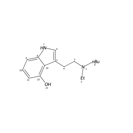 CCCCN(CC)CCc1c[nH]c2cccc(O)c12